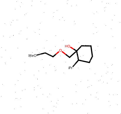 COCCOCC1(O)CCCCC1C(C)C